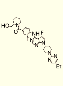 CCc1cnc(N2CCC(n3cc(F)c4c(Nc5ccc(C(=O)N6CCCC[C@@H]6CO)cc5F)ncnc43)CC2)nc1